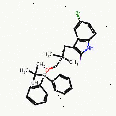 CC(C)(CO[Si](c1ccccc1)(c1ccccc1)C(C)(C)C)Cc1c(I)[nH]c2ccc(Br)cc12